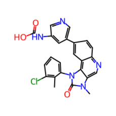 Cc1c(Cl)cccc1-n1c(=O)n(C)c2cnc3ccc(-c4cncc(NC(=O)O)c4)cc3c21